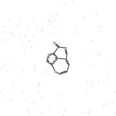 O=C1N=CC2=CC=COc3csc1c32